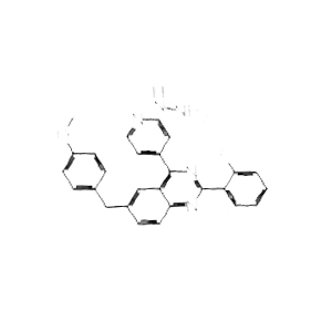 COc1ccc(Cc2ccc3nc(-c4ccccc4F)nc(-c4ccncc4)c3c2)cc1.NN